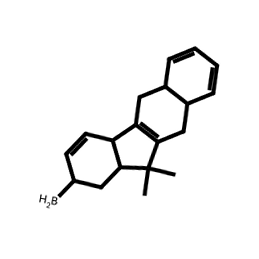 BC1C=CC2C3=C(CC4C=CC=CC4C3)C(C)(C)C2C1